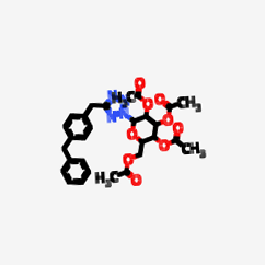 CC(=O)OCC1OC(n2nnc(Cc3ccc(Cc4ccccc4)cc3)n2)C(OC(C)=O)C(OC(C)=O)C1OC(C)=O